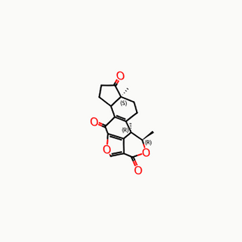 C[C@H]1OC(=O)c2coc3c2[C@@]1(C)C1=C(C3=O)C2CCC(=O)[C@@]2(C)CC1